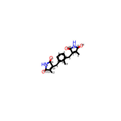 CC1=C(Cc2cccc(CC3=C(C)C(=O)NC3=O)c2C)C(=O)NC1=O